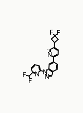 FC(F)c1cccc(-n2ncc3ccc(-c4ccc(C5CC(F)(F)C5)[c]n4)cc32)n1